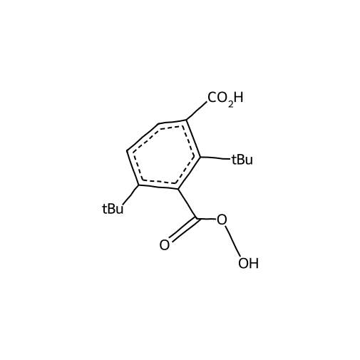 CC(C)(C)c1ccc(C(=O)O)c(C(C)(C)C)c1C(=O)OO